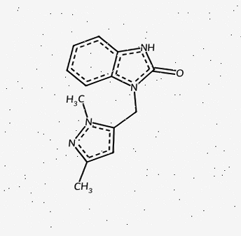 Cc1cc(Cn2c(=O)[nH]c3ccccc32)n(C)n1